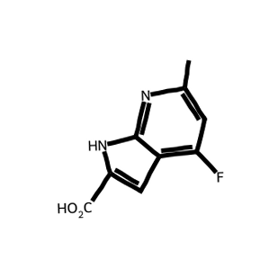 Cc1cc(F)c2cc(C(=O)O)[nH]c2n1